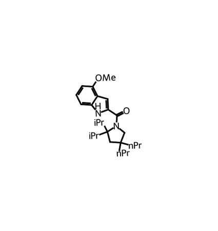 CCCC1(CCC)CN(C(=O)c2cc3c(OC)cccc3[nH]2)C(C(C)C)(C(C)C)C1